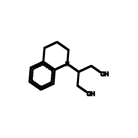 OCC(CO)N1CCCc2ccccc21